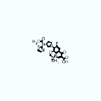 CC(=O)N(c1nccs1)[C@@H]1CCN(c2c(F)cc3c(=O)c(C(=O)O)cn4c3c2OCN4C)C1